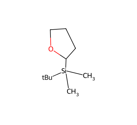 CC(C)(C)[Si](C)(C)C1CCCO1